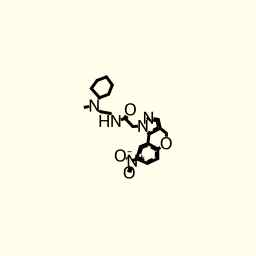 CN(CCNC(=O)Cn1ncc2c1-c1cc([N+](=O)[O-])ccc1OC2)C1CCCCC1